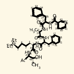 CCN(CC)CCCC[C@H](NC(=O)C(Cc1ccccc1)NC(=O)[C@H](C)NC(=O)C(Cc1ccccc1)NC(=O)c1cccnc1)C(=O)NC(C(C)=O)[C@@H](C)O